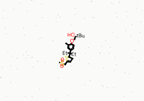 CCC(CC)(c1ccc(OCC(O)C(C)(C)C)c(C)c1)C1CC=C(CS(C)(=O)=O)S1